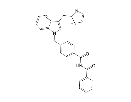 O=C(NC(=O)c1ccc(Cn2cc(Cc3ncc[nH]3)c3ccccc32)cc1)c1ccccc1